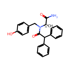 C[C@@H](C(N)=O)N(Cc1ccc(O)cc1)C(=O)C(c1ccccc1)c1ccccc1